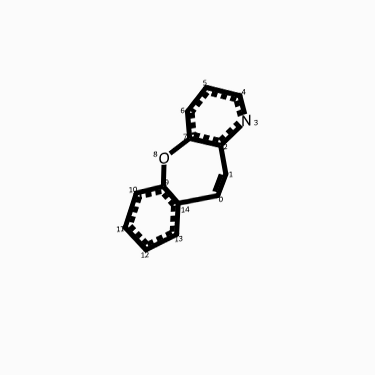 C1=Cc2ncccc2Oc2ccccc21